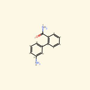 NC(=O)c1[c]cccc1-c1cccc(N)c1